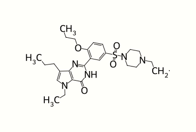 [CH2]CN1CCN(S(=O)(=O)c2ccc(OCCC)c(-c3nc4c(CCC)cn(CC)c4c(=O)[nH]3)c2)CC1